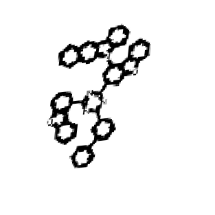 c1ccc(-c2cccc(-c3nc(-c4cc(-n5c6ccccc6c6cc7ccccc7cc65)c5c(c4)oc4ccccc45)nc(-c4cccc5oc6ccccc6c45)n3)c2)cc1